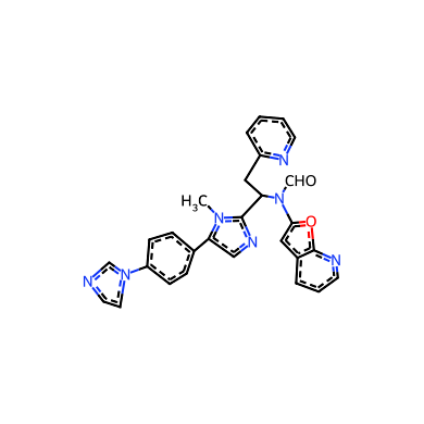 Cn1c(-c2ccc(-n3ccnc3)cc2)cnc1C(Cc1ccccn1)N(C=O)c1cc2cccnc2o1